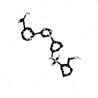 CCc1ccccc1S(=O)(=O)Nc1cccc(-n2cc(-c3cc(C(=O)O)ccn3)nn2)c1